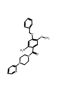 COc1cc(C(=O)N2CCN(c3ccccn3)CC2)c(N)cc1OCc1ccccc1